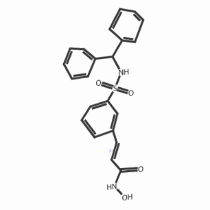 O=C(/C=C/c1cccc(S(=O)(=O)NC(c2ccccc2)c2ccccc2)c1)NO